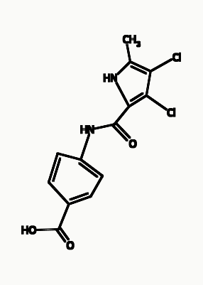 Cc1[nH]c(C(=O)Nc2ccc(C(=O)O)cc2)c(Cl)c1Cl